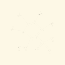 CCCc1c(CCC)c(CCC)c(S(=O)(=O)[O-])c(CCC)c1CCC.[K+]